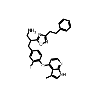 Cc1c[nH]c2nccc(Oc3ccc(CC(CN)c4nc(CCc5ccccc5)no4)cc3F)c12